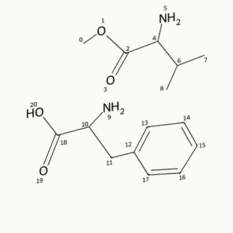 COC(=O)C(N)C(C)C.NC(Cc1ccccc1)C(=O)O